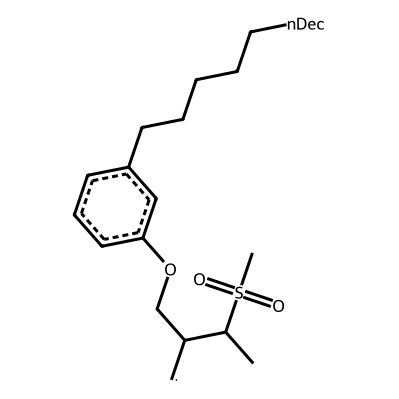 [CH2]C(COc1cccc(CCCCCCCCCCCCCCC)c1)C(C)S(C)(=O)=O